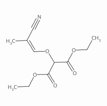 CCOC(=O)C(OC=C(C)C#N)C(=O)OCC